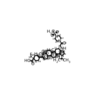 C=C(C)[C@@H]1CC[C@]2(NCC(=O)N3CCN(S(C)(=O)=O)CC3)CC[C@]3(C)[C@H](CC[C@@H]4C5(C)CC=C(C6=CC[C@](CF)(C(=O)O)CC6)C(C)(C)[C@@H]5CC[C@]43C)[C@@H]12